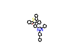 c1ccc(-c2ccc(-c3nc(-c4ccccc4)cc(-c4cccc5c4-c4ccccc4C54c5ccc6ccccc6c5Sc5c4ccc4ccccc54)n3)cc2)cc1